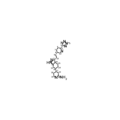 Cn1nnc(-c2ccc(/C=C/c3n[nH]c4cc(-c5ccnc(N)c5)ccc34)cn2)n1